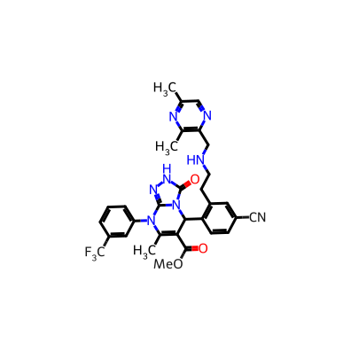 COC(=O)C1=C(C)N(c2cccc(C(F)(F)F)c2)c2n[nH]c(=O)n2C1c1ccc(C#N)cc1CCNCc1ncc(C)nc1C